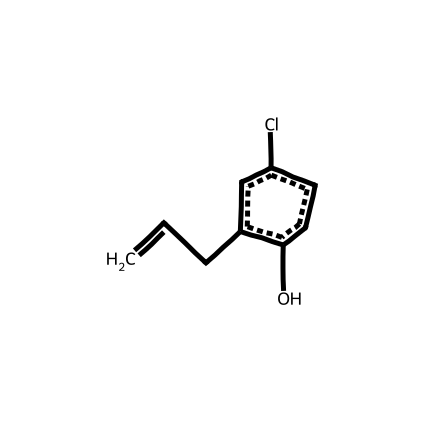 C=CCc1cc(Cl)ccc1O